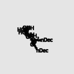 CCCCCCCCCCCCCCCCC(=O)OCC(CSCC(N)C(=O)Nc1cn([C@H]2OC(CO)C(O)C(O)C2O)nn1)OC(=O)CCCCCCCCCCCCCCCC